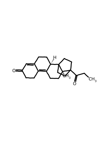 CCC(=O)C12CCC3(CC1)[C@@H]1CCC4=CC(=O)CCC4=C1CC[C@]23C